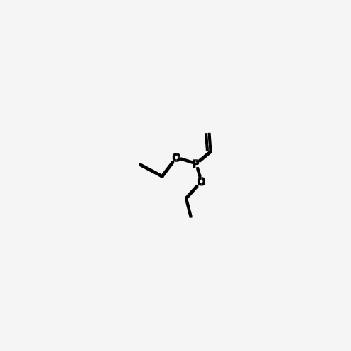 C=CP(OCC)OCC